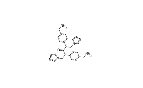 NCc1ccc(C(Cn2ccnc2)C(=O)C(Cn2ccnc2)c2ccc(CN)cc2)cc1